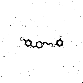 Fc1cccc(OCCCN2CCC(Cc3ccc(Cl)cc3)CC2)c1